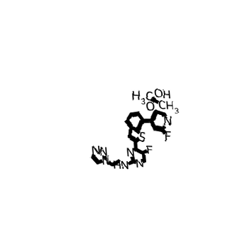 CC(C)(O)Oc1cnc(F)cc1-c1cccc2cc(-c3nc(NCCn4ccnn4)ncc3F)sc12